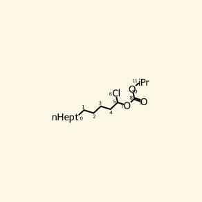 CCCCCCCCCCCC(Cl)OC(=O)OC(C)C